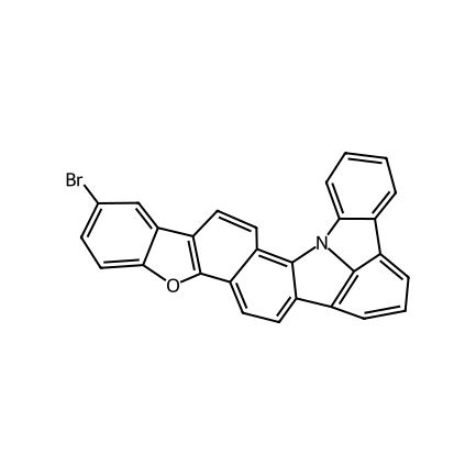 Brc1ccc2oc3c(ccc4c3ccc3c5cccc6c7ccccc7n(c43)c65)c2c1